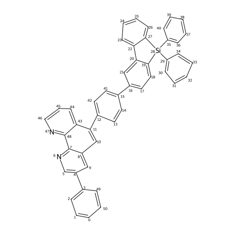 c1ccc(-c2cnc3c(c2)cc(-c2ccc(-c4ccc5c(c4)-c4ccccc4[Si]5(c4ccccc4)c4ccccc4)cc2)c2cccnc23)cc1